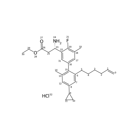 C=CCCCCc1cc(C2CC2)cc(C)c1-c1cc(C)c(F)c([C@@H](N)CC(=O)OCC)c1.Cl